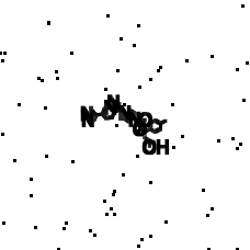 Cc1ccc(C(CCO)OC(=O)N2CCN(c3cnn4cc(-c5cnn(C)c5)ccc34)CC2)cc1